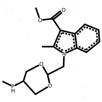 COC(=O)c1c(C)n(CC2OCC(PC)CO2)c2ccccc12